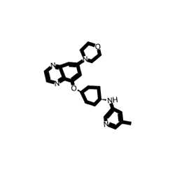 Cc1cncc(N[C@H]2CC[C@@H](Oc3cc(N4CCOCC4)cc4nccnc34)CC2)c1